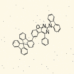 c1ccc(-c2nc(-n3c4ccccc4c4ccccc43)nc3oc4ccc(-c5cccc6c5-c5ccccc5C65c6ccccc6-c6ccccc65)cc4c23)cc1